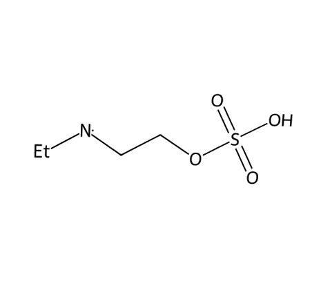 CC[N]CCOS(=O)(=O)O